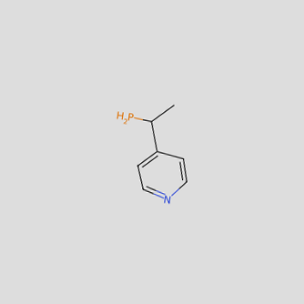 CC(P)c1ccncc1